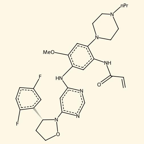 C=CC(=O)Nc1cc(Nc2cc(N3OCC[C@@H]3c3cc(F)ccc3F)ncn2)c(OC)cc1N1CCN(CCC)CC1